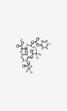 COC(=O)[C@H](Cc1ccc(OC(=O)C(C)(C)C)c(OC(=O)C(C)(C)C)c1)NCC(C)OC(=O)Oc1ccccc1